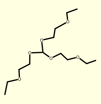 CCOCCOC(OCCOCC)OCCOCC